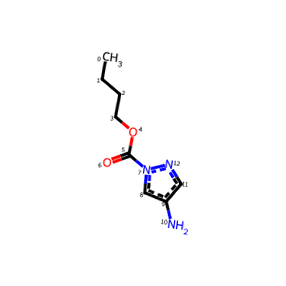 CCCCOC(=O)n1cc(N)cn1